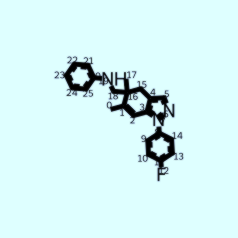 CC1=Cc2c(cnn2-c2ccc(F)cc2)CC1(C)CNc1ccccc1